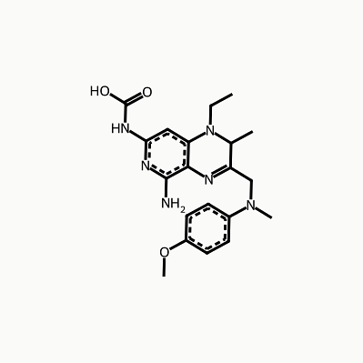 CCN1c2cc(NC(=O)O)nc(N)c2N=C(CN(C)c2ccc(OC)cc2)C1C